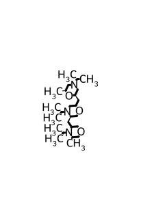 CC(C)N1C[C@@H](CC2CN(C(C)C)[C@H](CC3COC[C@H](C)N3C(C)C)CO2)O[C@H](C)C1